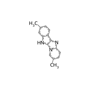 Cc1ccc2c(c1)[nH]c1c2nc2ccc(C)cn21